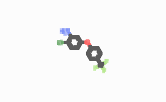 Nc1cc(Oc2ccc(C(F)(F)F)cc2)ccc1Cl